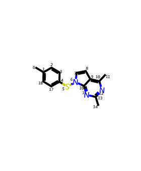 Cc1ccc(Sn2ccc3c(C)nc(C)nc32)cc1